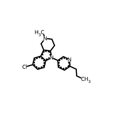 CCCc1ccc(-n2c3c(c4cc(Cl)ccc42)CN(C)CC3)cn1